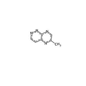 Cc1cnc2nnccc2n1